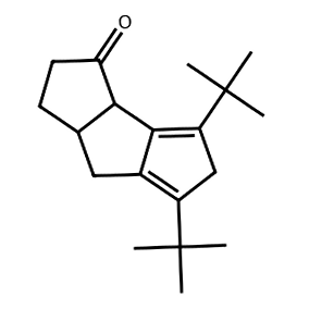 CC(C)(C)C1=C2CC3CCC(=O)C3C2=C(C(C)(C)C)C1